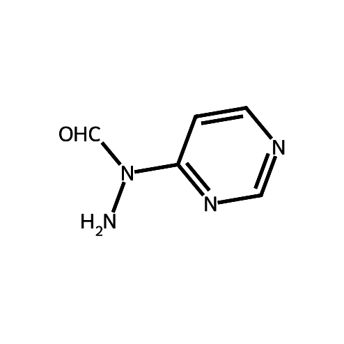 NN(C=O)c1ccncn1